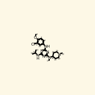 COc1ccc(Nc2nc(NC(C)C)nc(N(C)C3CCN(C)CC3)n2)cc1Cl